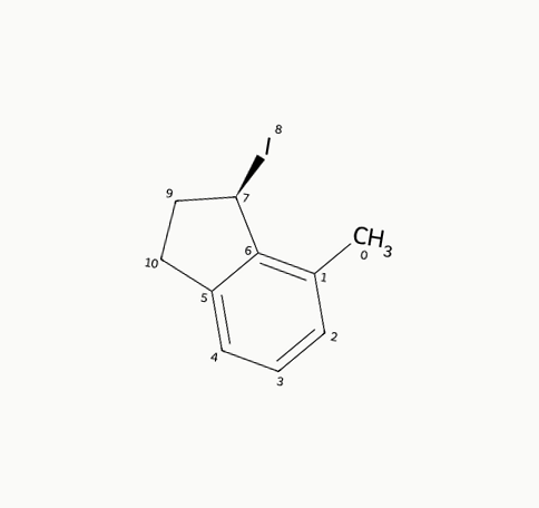 Cc1cccc2c1[C@H](I)CC2